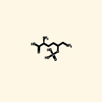 NCC(CC[C@H](N)C(=O)O)OP(=O)(O)O